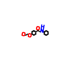 COCCOc1ccc(C(=O)CNc2ccccc2)cc1